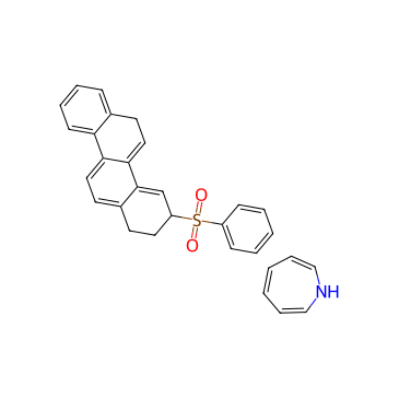 C1=CC=CNC=C1.O=S(=O)(c1ccccc1)C1C=c2c(ccc3c2=CCc2ccccc2-3)CC1